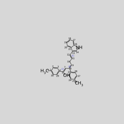 Cc1ccc(/C(O)=C/C(=C\C/C=C/c2c[nH]c3ccccc23)c2ccc(C)cc2)cc1